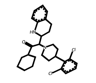 O=C(C1CCCCC1)C(C1CCc2ccccc2N1)N1CCC(c2c(Cl)cccc2Cl)CC1